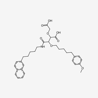 COc1ccc(CCCCCOC(C(=O)NCCCCCc2ccc3ccccc3c2)C(OCC(=O)O)C(=O)O)cc1